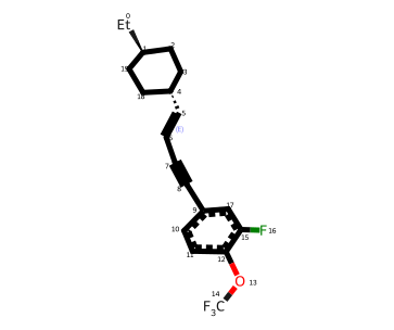 CC[C@H]1CC[C@H](/C=C/C#Cc2ccc(OC(F)(F)F)c(F)c2)CC1